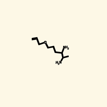 C=CCOCCCC(N)C(C)N